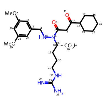 COc1cc(CNN(C(=O)CC(=O)C2CCCCC2)[C@@H](CCCNC(=N)N)C(=O)O)cc(OC)c1